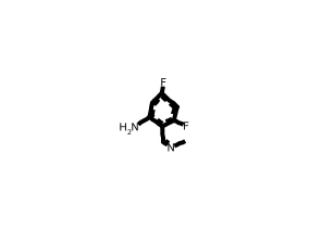 C/N=C\c1c(N)cc(F)cc1F